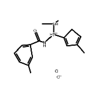 CC1=CC[C]([Hf+2]([NH]C(=O)c2cccc(C)c2)[SiH](C)C)=C1.[Cl-].[Cl-]